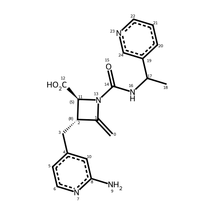 C=C1[C@H](Cc2ccnc(N)c2)[C@@H](C(=O)O)N1C(=O)NC(C)c1cccnc1